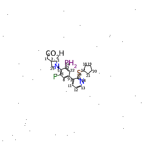 O=C(O)CC1CN(c2c(F)cc(-c3cccnc3SC3CCCC3)cc2P)C1